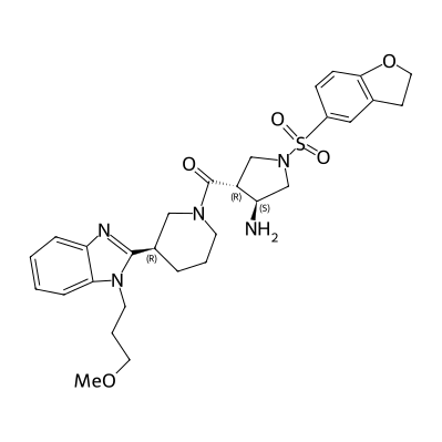 COCCCn1c([C@@H]2CCCN(C(=O)[C@@H]3CN(S(=O)(=O)c4ccc5c(c4)CCO5)C[C@H]3N)C2)nc2ccccc21